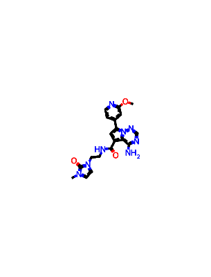 COc1cc(-c2cc(C(=O)NCCn3ccn(C)c3=O)c3c(N)ncnn23)ccn1